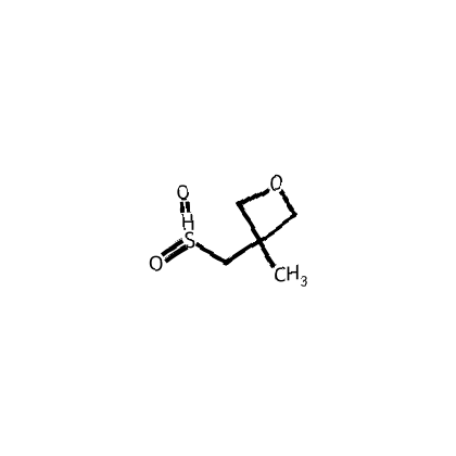 CC1(C[SH](=O)=O)COC1